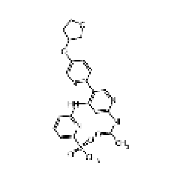 CC(=O)Nc1cc(Nc2cccc(S(C)(=O)=O)n2)c(-c2ccc(OC3CCOC3)cn2)cn1